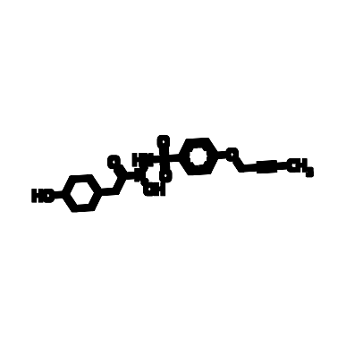 CC#CCOc1ccc(S(=O)(=O)NN(O)C(=O)CC2CCC(O)CC2)cc1